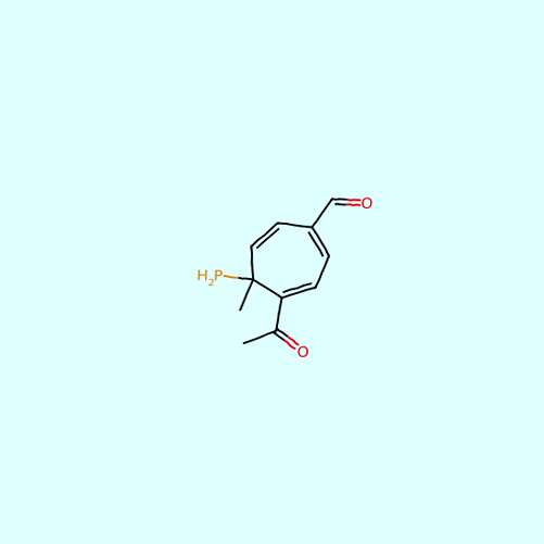 CC(=O)C1=CC=C(C=O)C=CC1(C)P